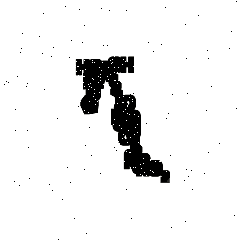 O=C(CCCC=CC[C@@H]1[C@@H](C=CC(F)(F)COc2ccccc2)[C@H](O)C[C@@H]1O)O[C@@H]1CO[C@H]2[C@@H]1OC[C@H]2OC(=O)CCCC(CO[N+](=O)[O-])O[N+](=O)[O-]